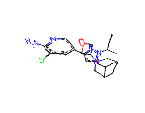 CC(C)n1nc(-c2cnc(N)c(Cl)c2)cc1C1C2CC1CN(C1COC1)C2